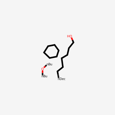 C1CCCCC1.CCCCCCCCCCCCCCCCO.CCCCOCCCC